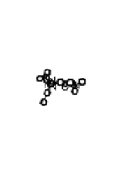 c1ccc(-c2ccc(-c3nc(-c4ccc5c(c4)oc4c5ccc5c4c4ccccc4n5-c4ccccc4)nc(-n4c5ccccc5c5ccccc54)n3)cc2)cc1